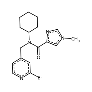 Cn1cnc(C(=O)N(Cc2ccnc(Br)c2)C2CCCCC2)c1